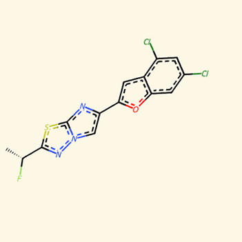 C[C@@H](F)c1nn2cc(-c3cc4c(Cl)cc(Cl)cc4o3)nc2s1